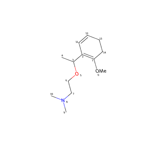 COC1=C(C(C)OCCN(C)C)C=CCC1